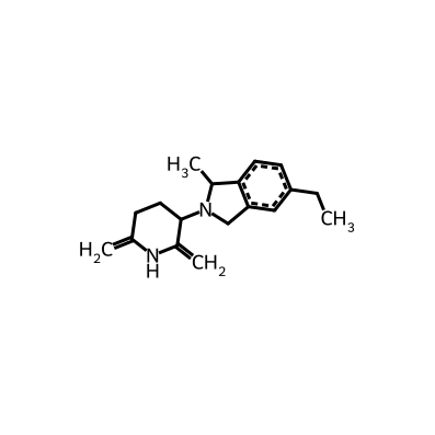 C=C1CCC(N2Cc3cc(CC)ccc3C2C)C(=C)N1